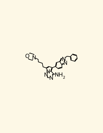 Nc1ncnn2c(CCCCN3CCOCC3)cc(-c3ccc4nn(Cc5ccccc5)cc4c3)c12